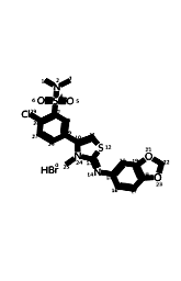 Br.CN(C)S(=O)(=O)c1cc(-c2csc(=Nc3ccc4c(c3)OCO4)n2C)ccc1Cl